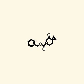 O=C(OCc1ccccc1)N1CCC2(CC2)C(=O)C1